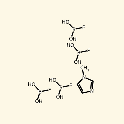 Cn1ccnc1.OB(O)F.OB(O)F.OB(O)F.OB(O)F